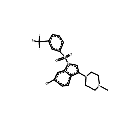 CN1CCN(c2cn(S(=O)(=O)c3cccc(C(F)(F)F)c3)c3cc(Cl)ccc23)CC1